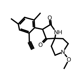 C#Cc1cc(C)cc(C)c1C1C(=O)NC2(CCN(OC)CC2)C1=O